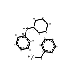 CCc1ccccc1.c1ccc(NC2CCCCC2)cc1